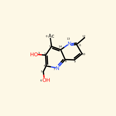 CC(=O)c1c(O)c(CO)nc2ccc(C)nc12